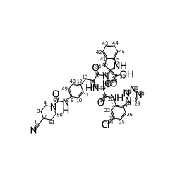 N#CC1CCN(C(=O)Nc2ccc(CC(NC(=O)C(=O)Nc3cc(Cl)ccc3-n3cnnn3)C(=O)NC3(C(=O)O)Cc4ccccc4N3)cc2)CC1